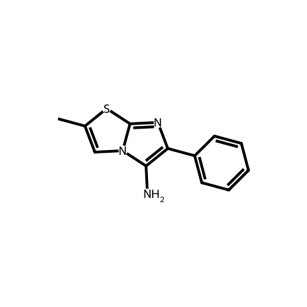 Cc1cn2c(N)c(-c3ccccc3)nc2s1